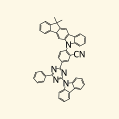 CC1(C)c2ccccc2-c2cc3c(cc21)c1ccccc1n3-c1ccc(-c2nc(-c3ccccc3)nc(-n3c4ccccc4c4ccccc43)n2)cc1C#N